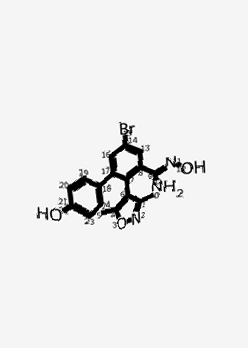 Cc1noc(C)c1-c1c(/C(N)=N/O)cc(Br)cc1-c1ccc(O)cc1